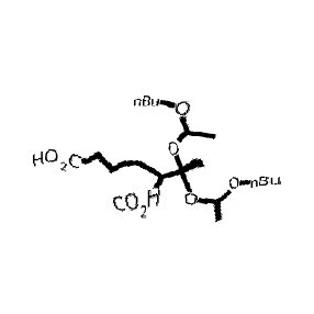 CCCCOC(C)OC(C)(OC(C)OCCCC)C(CCCC(=O)O)C(=O)O